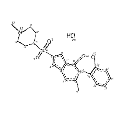 Cc1nc2sc(S(=O)(=O)N3CCN(C)CC3)cc2c(=O)n1-c1ccccc1Cl.Cl